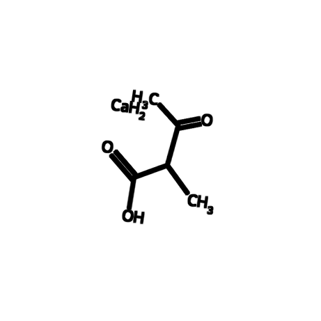 CC(=O)C(C)C(=O)O.[CaH2]